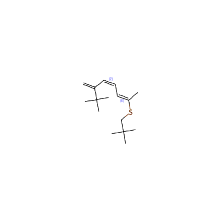 C=C(/C=C\C=C(/C)SCC(C)(C)C)C(C)(C)C